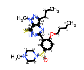 CCCCOc1ccc([S+]([O-])N2CCN(C)CC2)cc1-c1nc2c(CCC)nn(C)c2c(=S)[nH]1